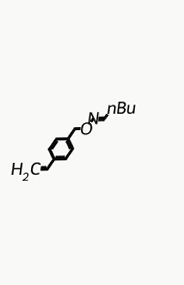 C=Cc1ccc(CON=CCCCC)cc1